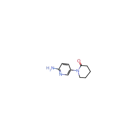 Nc1ccc(N2CCCCC2=O)cn1